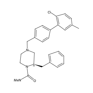 CNC(=O)N1CCN(Cc2ccc(-c3cc(C)ccc3Cl)cc2)C[C@H]1Cc1ccccc1